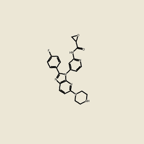 O=C(Nc1cc(-n2c(-c3ccc(F)cc3)nc3ccc(N4CCNCC4)nc32)ccn1)C1CO1